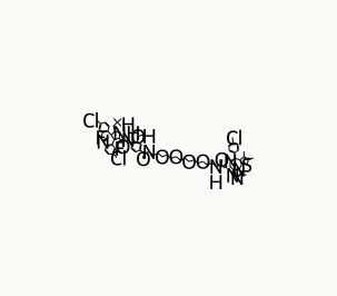 COc1cc(C(=O)NCCOCCOCCOCCOCCNC(=O)C[C@@H]2N=C(c3ccc(Cl)cc3)c3c(sc(C)c3C)-n3c(C)nnc32)ccc1NC(=O)C1NC(CC(C)(C)C)[C@](C#N)(c2ccc(Cl)cc2F)C1c1cccc(Cl)c1F